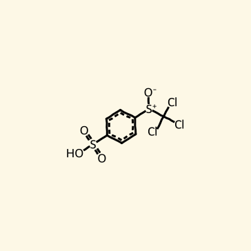 O=S(=O)(O)c1ccc([S+]([O-])C(Cl)(Cl)Cl)cc1